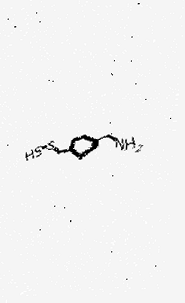 NC[C@H]1CC[C@@H](CSS)CC1